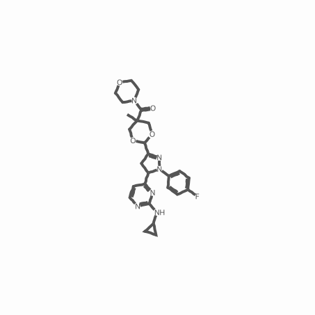 CC1(C(=O)N2CCOCC2)COC(C2=NN(c3ccc(F)cc3)C(c3ccnc(NC4CC4)n3)C2)OC1